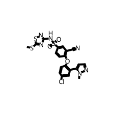 CSc1nc(NS(=O)(=O)c2ccc(Oc3ccc(Cl)cc3-c3ccnn3C)c(C#N)c2)ns1